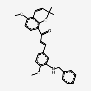 COc1ccc(C=CC(=O)c2ccc(OC)c3c2OC(C)(C)C=C3)cc1NCc1ccccc1